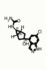 NC(=O)N[C@H]1[C@@H]2C[C@@](O)(c3cc(Cl)cc4[nH]ncc34)C[C@@H]21